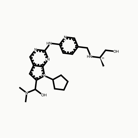 C[C@H](CO)NCc1ccc(Nc2ncc3cc(C(O)N(C)C)n(C4CCCC4)c3n2)nc1